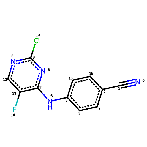 N#Cc1ccc(Nc2nc(Cl)ncc2F)cc1